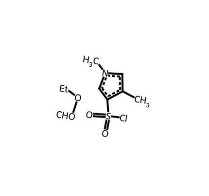 CCOC=O.Cc1cn(C)cc1S(=O)(=O)Cl